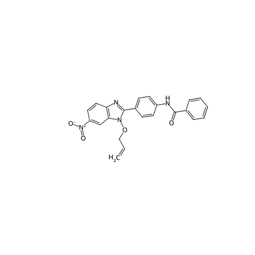 C=CCOn1c(-c2ccc(NC(=O)c3ccccc3)cc2)nc2ccc([N+](=O)[O-])cc21